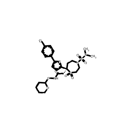 CN(C)S(=O)(=O)N1CC[C@](CC(=O)NOC2CCCCO2)(c2ccc(-c3ccc(Cl)cc3)s2)S(=O)(=O)CC1